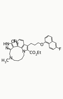 CCOC(=O)c1c(CCCOc2cccc3cc(F)ccc23)c2ccc(F)c3c2n1CCCCN(C)Cc1n[nH]c(C)c1-3